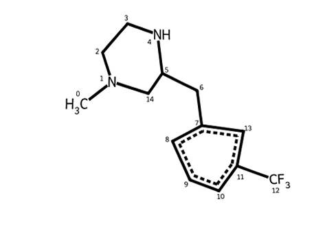 CN1CCNC(Cc2cccc(C(F)(F)F)c2)C1